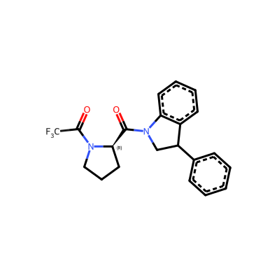 O=C([C@H]1CCCN1C(=O)C(F)(F)F)N1CC(c2ccccc2)c2ccccc21